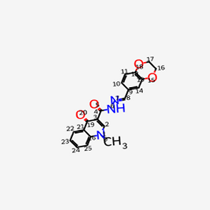 Cn1cc(C(=O)NN=Cc2ccc3c(c2)OCCO3)c(=O)c2ccccc21